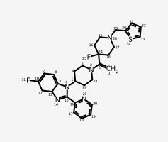 C=C(N1CCC(N2C3=CC=C(F)CC3N=C2c2ccccn2)CC1)C1(F)CCN(Cc2cccs2)CC1